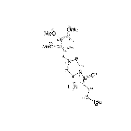 COc1ccc(CN2CCN(C(=O)[C@@H](N)COC(C)(C)C)CC2)c(OC)c1OC